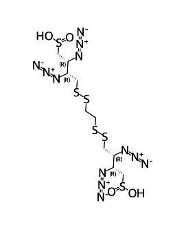 [N-]=[N+]=N[C@@H](CSSCCSSC[C@H](N=[N+]=[N-])[C@H](CS(=O)O)N=[N+]=[N-])[C@H](CS(=O)O)N=[N+]=[N-]